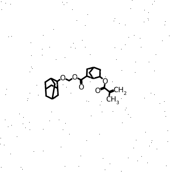 C=C(C)C(=O)OC1CC2CC(C(=O)OCOC3C4CC5CC(C4)CC3C5)C1C2